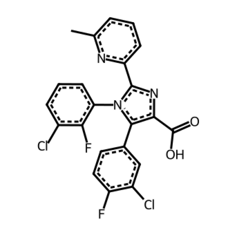 Cc1cccc(-c2nc(C(=O)O)c(-c3ccc(F)c(Cl)c3)n2-c2cccc(Cl)c2F)n1